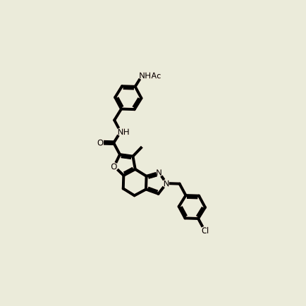 CC(=O)Nc1ccc(CNC(=O)c2oc3c(c2C)-c2nn(Cc4ccc(Cl)cc4)cc2CC3)cc1